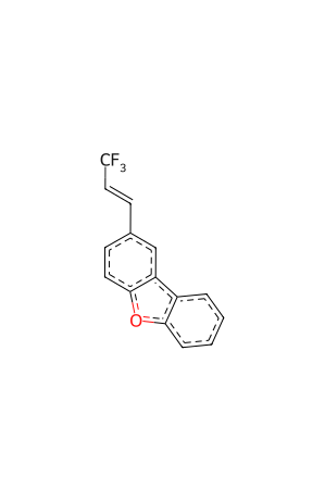 FC(F)(F)/C=C/c1ccc2oc3ccccc3c2c1